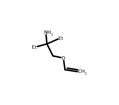 C=COCC(N)(CC)CC